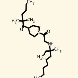 CCCCCCC(C)(CC)NCC(=O)N1CCC(C(=O)C(C)(C)CCCC)CC1